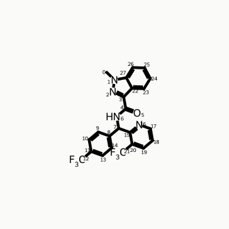 Cn1nc(C(=O)NC(c2ccc(C(F)(F)F)cc2)c2ncccc2C(F)(F)F)c2ccccc21